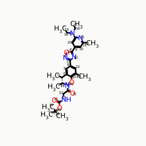 CCc1cc(-c2noc(-c3cc(C)nc(N(CC)CC)c3)n2)cc(C)c1ON(CC)C(=O)CNC(=O)OC(C)(C)C